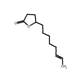 CC=CCCCCCC1CCC(=O)O1